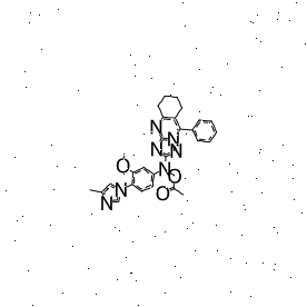 COc1cc(N(OC(C)=O)c2nc3nc4c(c(-c5ccccc5)n3n2)CCCC4)ccc1-n1cnc(C)c1